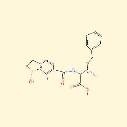 COC(=O)C(NC(=O)c1ccc2c(c1C)B(O)OC2)[C@@H](C)OCc1ccccc1